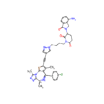 Cc1c(C#Cc2cnn(CCCCN3C(=O)CCC(N4Cc5c(N)cccc5C4=O)C3=O)c2)sc2c1C(c1ccc(Cl)cc1)=N[C@@H](C)c1nnc(C)n1-2